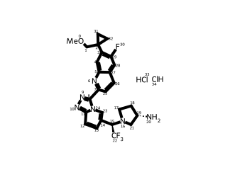 COCC1(c2cc3nc(-c4nnc5ccc([C@@H](N6CC[C@H](N)C6)C(F)(F)F)cn45)ccc3cc2F)CC1.Cl.Cl